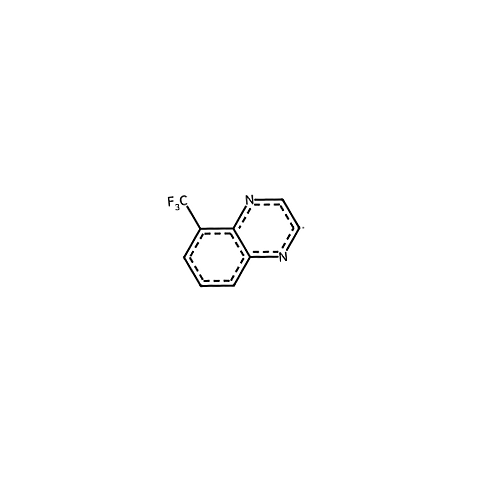 FC(F)(F)c1cccc2n[c]cnc12